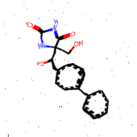 O=C1NC(=O)C(CO)(C(O)c2ccc(-c3ccccc3)cc2)N1